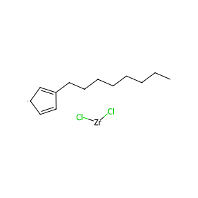 CCCCCCCCC1=C[CH]C=C1.[Cl][Zr][Cl]